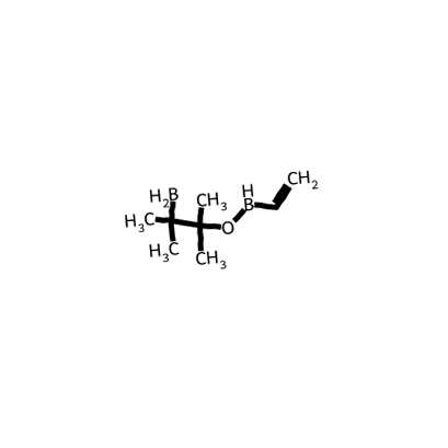 BC(C)(C)C(C)(C)OBC=C